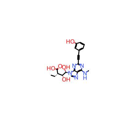 CC[C@H](C(=O)O)[C@@H](O)[C@@H](O)n1cnc2c(NC)nc(C#Cc3cccc(O)c3)nc21